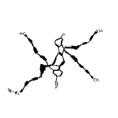 C#CC#CC#CC#CC1(C#CC#CC#CC#C)c2cc(Br)ccc2-c2cc3c(cc21)-c1ccc(Br)cc1C3(C#CC#CC#CC#C)C#CC#CC#CC#C